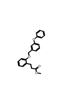 COC(=O)CCc1ccccc1OCc1cccc(Oc2ccccc2)c1